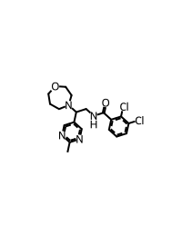 Cc1ncc(C(CNC(=O)c2cccc(Cl)c2Cl)N2CCCOCC2)cn1